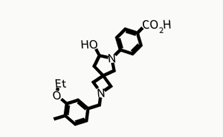 CCOc1cc(CN2CC3(CC(O)N(c4ccc(C(=O)O)cc4)C3)C2)ccc1C